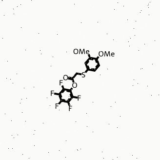 COc1ccc(SCC(=O)Oc2c(F)c(F)c(F)c(F)c2F)cc1OC